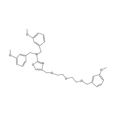 COc1cccc(COCCOCCOCc2coc(N(Cc3cccc(OC)c3)Cc3cccc(OC)c3)n2)c1